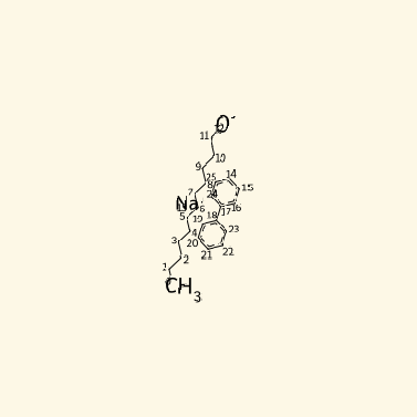 CCCCCCCCCCCC[O-].[Na+].c1ccc(-c2ccccc2)cc1